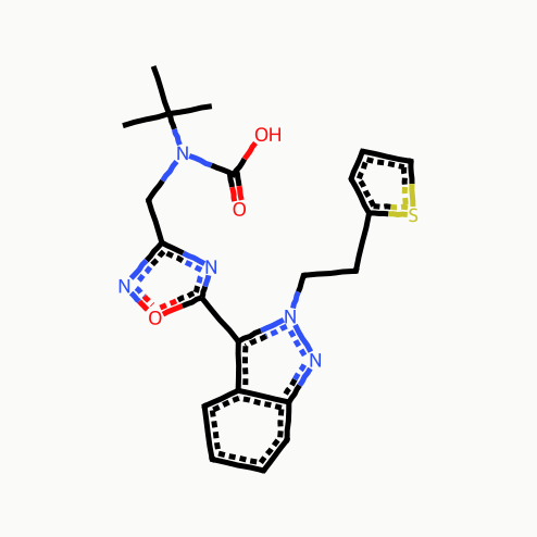 CC(C)(C)N(Cc1noc(-c2c3ccccc3nn2CCc2cccs2)n1)C(=O)O